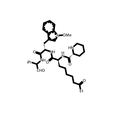 CCC(=O)CCCCC[C@H](NC(=O)[C@H]1CCCCN1)C(=O)N[C@@H](Cc1cn(OC)c2ccccc12)C(=O)NC(C=O)C(C)C